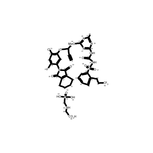 C#CC(C)Oc1cc(N2C(=O)C3=C(CCCC3)C2=O)c(F)cc1Cl.COc1nc(C)nc(NC(=O)NS(=O)(=O)c2ccccc2CCC(F)(F)F)n1.O=C(O)CNCP(=O)(O)O